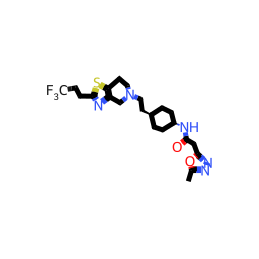 Cc1nnc(CC(=O)N[C@H]2CC[C@H](CCN3CCc4sc(CCC(F)(F)F)nc4C3)CC2)o1